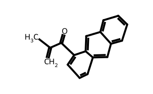 C=C(C)C(=O)c1cccc2cc3ccccc3cc12